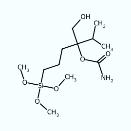 CO[Si](CCCC(CO)(OC(N)=O)C(C)C)(OC)OC